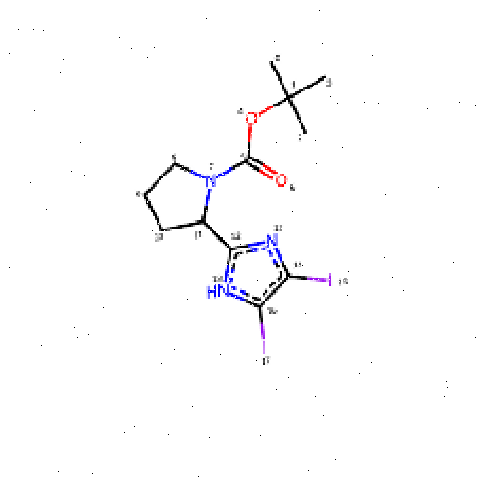 CC(C)(C)OC(=O)N1CCCC1c1nc(I)c(I)[nH]1